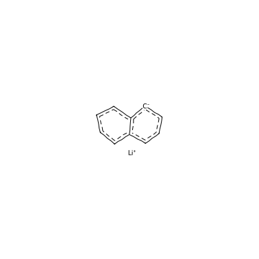 [Li+].[c-]1cccc2ccccc12